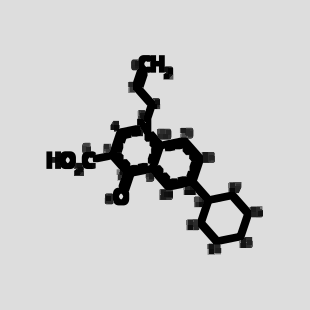 C=CCn1cc(C(=O)O)c(=O)c2cc(C3CCCCC3)ccc21